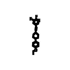 CCOc1ccc(C2CCC(C#Cc3cnc(F)c(F)c3)CC2)cc1